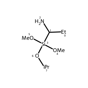 CCC(N)[Si](OC)(OC)OC(C)C